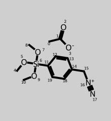 CC(=O)[O-].CO[Si](OC)(OC)c1ccc(C[N+]#N)cc1